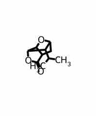 CC(C)C1C2CC3C(=O)OC1C3O2